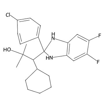 CC(C)(O)C(C1CCCCC1)C1(c2ccc(Cl)cc2)Nc2cc(F)c(F)cc2N1